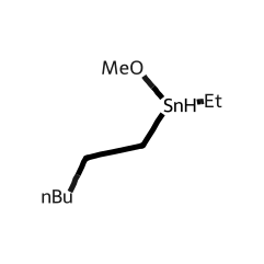 CCCCC[CH2][SnH]([CH2]C)[O]C